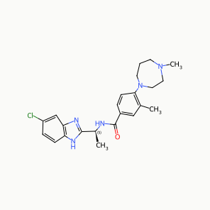 Cc1cc(C(=O)N[C@@H](C)c2nc3cc(Cl)ccc3[nH]2)ccc1N1CCCN(C)CC1